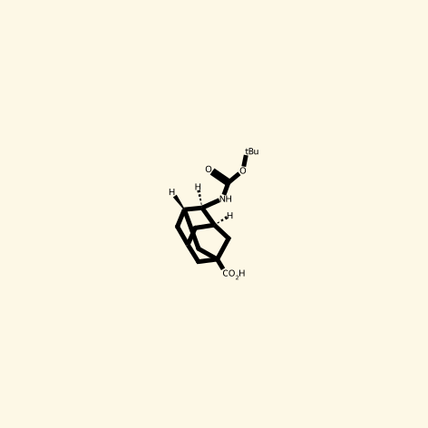 CC(C)(C)OC(=O)N[C@H]1[C@@H]2CC3C[C@H]1CC(C(=O)O)(C3)C2